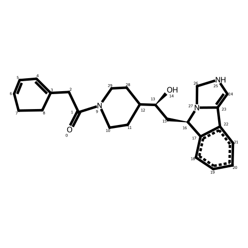 O=C(CC1=CC=CCC1)N1CCC([C@@H](O)C[C@@H]2c3ccccc3C3=CNCN32)CC1